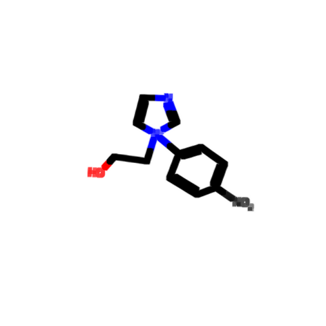 O=[N+]([O-])c1ccc([N+]2(CCO)C=CN=C2)cc1